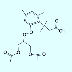 CC(=O)OCC(COC(C)=O)OOc1cc(C)cc(C)c1C(C)(C)CC(=O)O